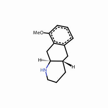 COc1cccc2c1C[C@@H]1NCCC[C@H]1C2